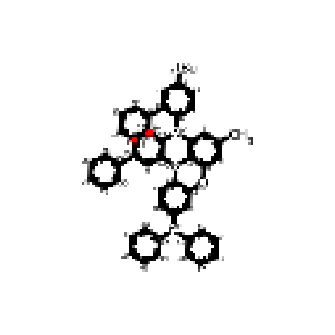 Cc1cc2c3c(c1)N(c1ccc(C(C)(C)C)cc1-c1ccccc1)c1ccc(-c4ccccc4)cc1B3c1ccc(N(c3ccccc3)c3ccccc3)cc1O2